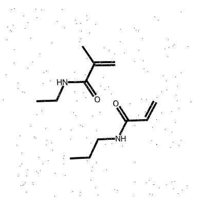 C=C(C)C(=O)NCC.C=CC(=O)NCCC